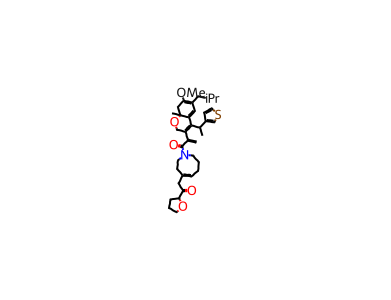 C=C(C(=O)N1CCC/C=C(/CC(=O)C2CCCO2)CC1)C1=C(C(C)c2ccsc2)C2=CC(CC(C)C)=C(OC)CC2(C)OC1